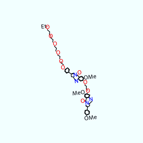 CCOCCCOCCCOCCCOCCCOCCOc1ccc(C2=CN3C(=O)c4cc(OC)c(OCCCOc5cc6c(cc5OC)C(=O)N5C=C(c7ccc(OC)cc7)CC5C=N6)cc4N=CC3C2)cc1